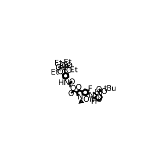 CCOP(=O)(OCC)C(c1ccc(NC(=O)COC(=O)c2cn(C3CC3)c3c(OC)c(N4C[C@@H]5CCCN(C(=O)OC(C)(C)C)[C@@H]5C4)c(F)cc3c2=O)cc1)P(=O)(OCC)OCC